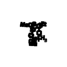 CCN1CCC(c2cc(-c3cccc(NC(=O)OC(C)(C)C)c3)sc2C(=O)OC)=C(C2CCC(C)CC2)C1